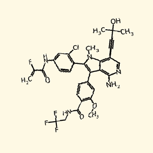 C=C(F)C(=O)Nc1ccc(-c2c(-c3ccc(C(=O)NCC(F)(F)F)c(OC)c3)c3c(N)ncc(C#CC(C)(C)O)c3n2C)c(Cl)c1